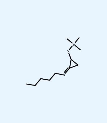 CCCCCN=C1CC1S[Si](C)(C)C